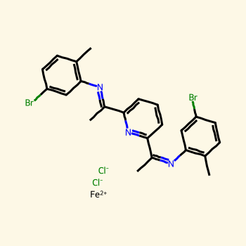 CC(=Nc1cc(Br)ccc1C)c1cccc(C(C)=Nc2cc(Br)ccc2C)n1.[Cl-].[Cl-].[Fe+2]